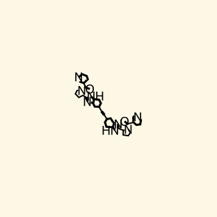 O=C(c1cccnc1)N1CCCC1c1nc2cc(C#Cc3ccc4[nH]c(C5CCCN5C(=O)c5cccnc5)nc4c3)ccc2[nH]1